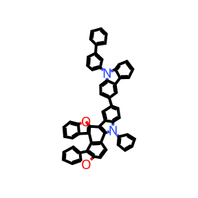 c1ccc(-c2cccc(-n3c4ccccc4c4cc(-c5ccc6c(c5)c5c7oc8ccccc8c7c7c(ccc8oc9ccccc9c87)c5n6-c5ccccc5)ccc43)c2)cc1